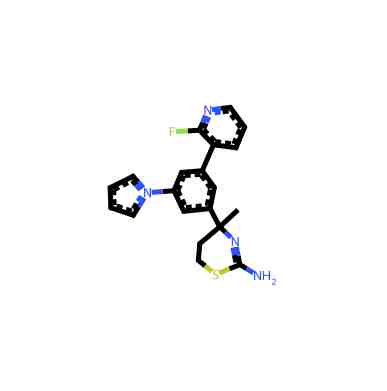 CC1(c2cc(-c3cccnc3F)cc(-n3cccc3)c2)CCSC(N)=N1